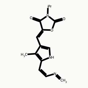 C=N/C=C\c1[nH]cc(/C=C2\OC(=O)N(C(C)C)C2=O)c1C